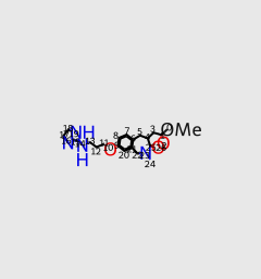 COC(=O)CC1Cc2ccc(OCCCNC3=NCCN3)cc2CN(C)C1=O